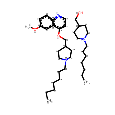 CCCCCCCN1CCC(CO)CC1.CCCCCCCN1CCC(COc2ccnc3ccc(OC)cc23)CC1